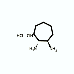 Cl.Cl.N[C@@H]1CCCCC[C@H]1N